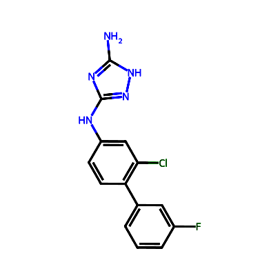 Nc1nc(Nc2ccc(-c3cccc(F)c3)c(Cl)c2)n[nH]1